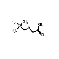 C=C(C)CO[CH2][Ge]([CH3])([CH3])[CH3]